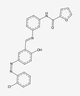 O=C(Nc1cccc(/N=C/c2cc(/N=N\c3ccccc3Cl)ccc2O)c1)c1ccco1